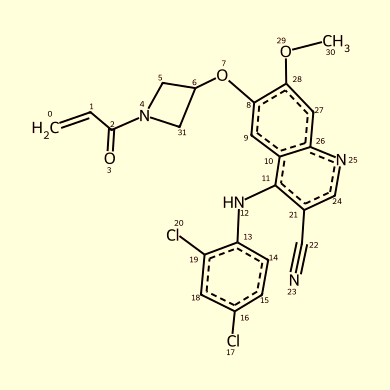 C=CC(=O)N1CC(Oc2cc3c(Nc4ccc(Cl)cc4Cl)c(C#N)cnc3cc2OC)C1